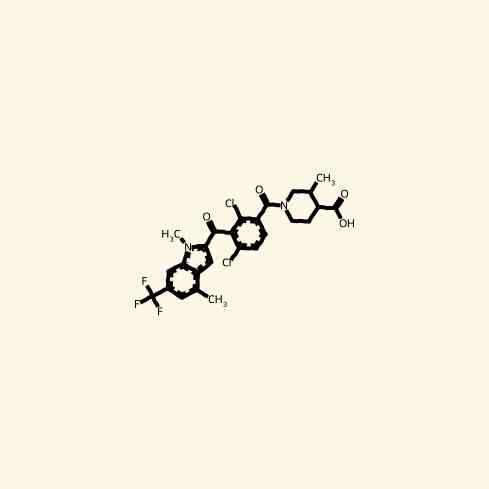 Cc1cc(C(F)(F)F)cc2c1cc(C(=O)c1c(Cl)ccc(C(=O)N3CCC(C(=O)O)C(C)C3)c1Cl)n2C